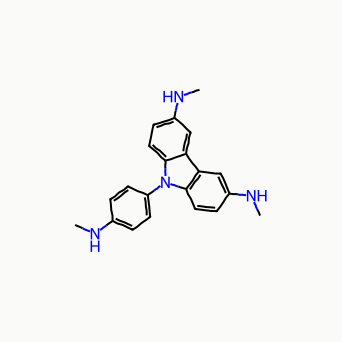 CNc1ccc(-n2c3ccc(NC)cc3c3cc(NC)ccc32)cc1